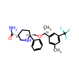 Cc1cc([C@@H](C)OC[C@@]2(c3ccccc3)CC[C@@H](C(N)=O)CN2)cc(C(F)(F)F)c1